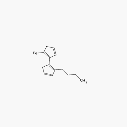 CCCCC1=C(C2=[C]([Fe])CC=C2)CC=C1